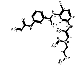 C=CC(=O)Nc1cccc(C(C)Nc2nc(N/C(C)=C/N(CCOC)N=C)ncc2Cl)c1